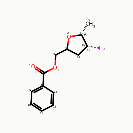 C[C@H]1OC(COC(=O)c2ccccc2)C[C@H]1I